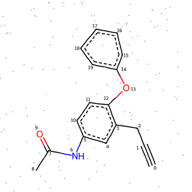 C#CCc1cc(NC(C)=O)ccc1Oc1ccccc1